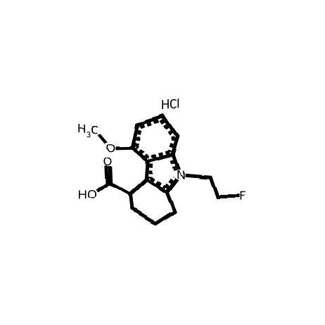 COc1cccc2c1c1c(n2CCF)CCCC1C(=O)O.Cl